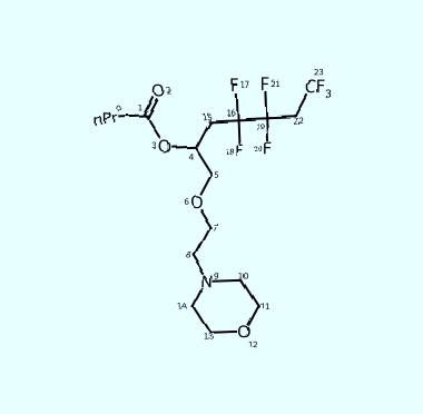 CCCC(=O)OC(COCCN1CCOCC1)CC(F)(F)C(F)(F)CC(F)(F)F